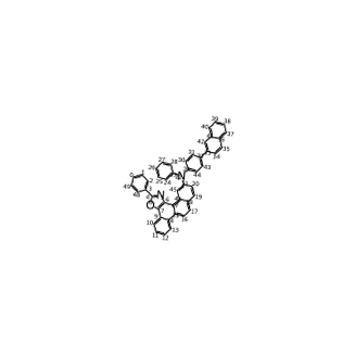 c1ccc(-c2nc3c(o2)c2ccccc2c2ccc4ccc(N(c5ccccc5)c5ccc(-c6ccc7ccccc7c6)cc5)cc4c23)cc1